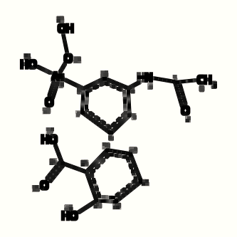 CC(=O)Nc1cccc([As](=O)(O)OO)c1.O=C(O)c1ccccc1O